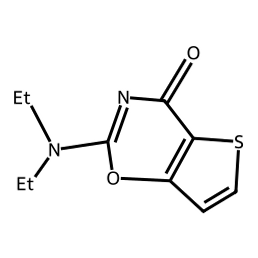 CCN(CC)c1nc(=O)c2sccc2o1